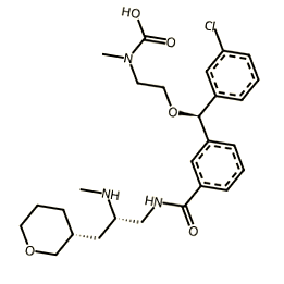 CN[C@H](CNC(=O)c1cccc([C@@H](OCCN(C)C(=O)O)c2cccc(Cl)c2)c1)C[C@H]1CCCOC1